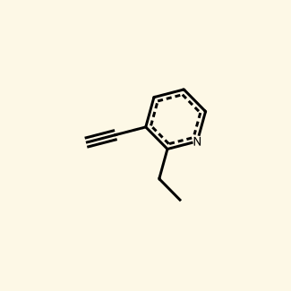 C#Cc1cccnc1CC